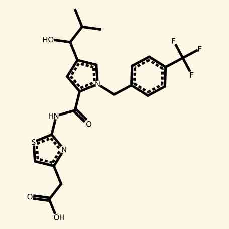 CC(C)C(O)c1cc(C(=O)Nc2nc(CC(=O)O)cs2)n(Cc2ccc(C(F)(F)F)cc2)c1